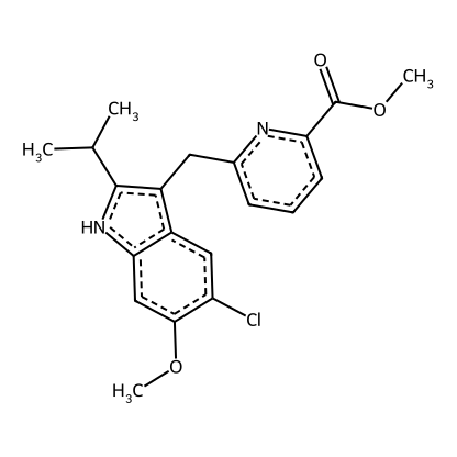 COC(=O)c1cccc(Cc2c(C(C)C)[nH]c3cc(OC)c(Cl)cc23)n1